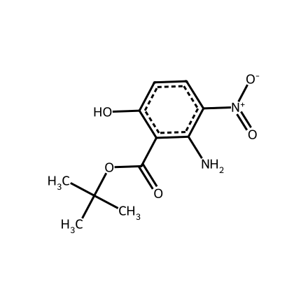 CC(C)(C)OC(=O)c1c(O)ccc([N+](=O)[O-])c1N